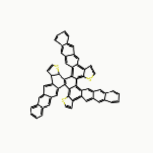 C1=CC2c3cc4cc5ccccc5cc4cc3-c3c(c4c5cc6cc7ccccc7cc6cc5c5ccsc5c4c4c5cc6cc7ccccc7cc6cc5c5ccsc5c34)C2S1